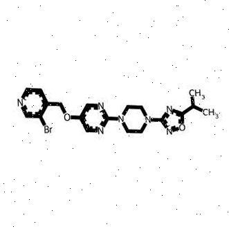 CC(C)c1nc(N2CCN(c3ncc(OCc4ccncc4Br)cn3)CC2)no1